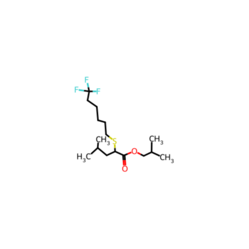 CC(C)COC(=O)C(CC(C)C)SCCCCCC(F)(F)F